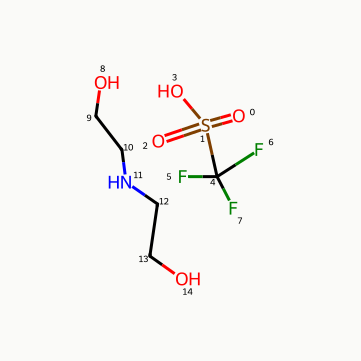 O=S(=O)(O)C(F)(F)F.OCCNCCO